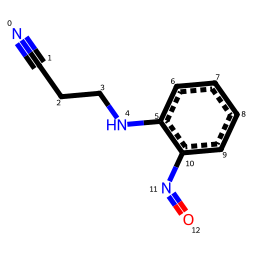 N#CCCNc1ccccc1N=O